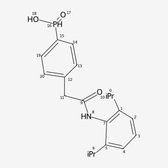 CC(C)c1cccc(C(C)C)c1NC(=O)Cc1ccc([PH](=O)O)cc1